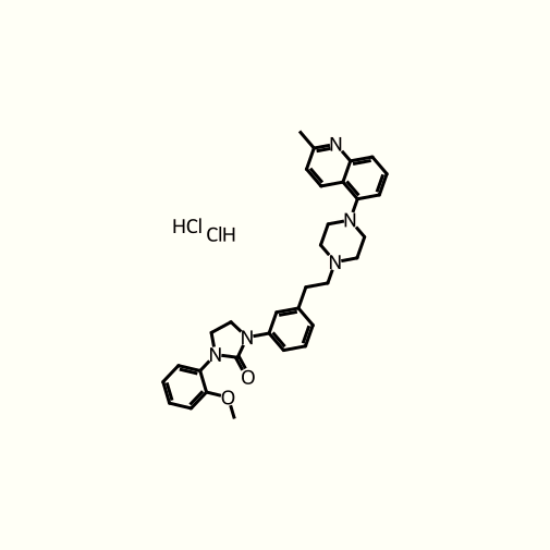 COc1ccccc1N1CCN(c2cccc(CCN3CCN(c4cccc5nc(C)ccc45)CC3)c2)C1=O.Cl.Cl